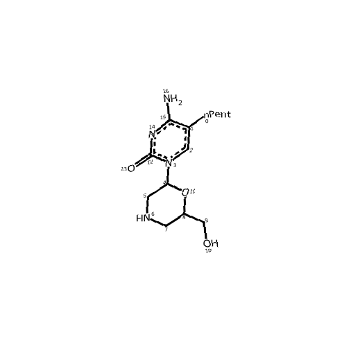 CCCCCc1cn(C2CNCC(CO)O2)c(=O)nc1N